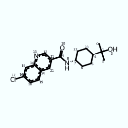 CC(C)(O)[C@H]1CC[C@H](NC(=O)c2cnc3cc(Cl)ccc3c2)CC1